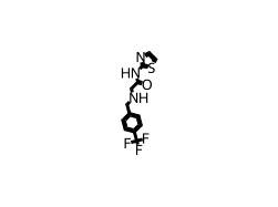 O=C(CNCc1ccc(C(F)(F)F)cc1)Nc1nccs1